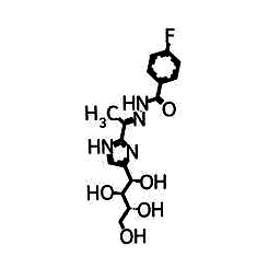 C/C(=N\NC(=O)c1ccc(F)cc1)c1nc([C@@H](O)[C@H](O)[C@H](O)CO)c[nH]1